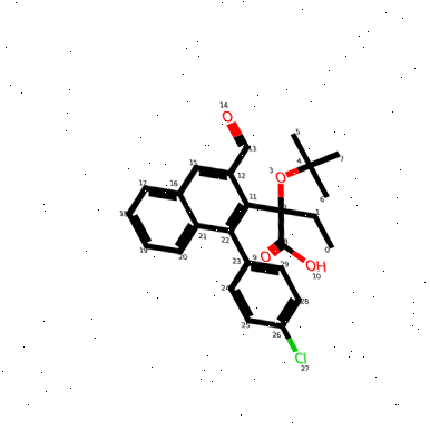 CCC(OC(C)(C)C)(C(=O)O)c1c(C=O)cc2ccccc2c1-c1ccc(Cl)cc1